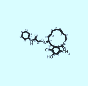 Cc1cc(O)c(Cl)c2c1C(=O)OCC/C=C/CC/C=C/C(=N\OCC(=O)NC1CCCCC1)C2